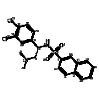 CN(C)C[C@@H](NS(=O)(=O)c1ccc2ccccc2c1)c1ccc(Cl)c(Cl)c1